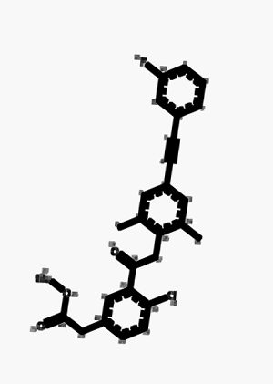 Cc1cc(C#Cc2cccc(F)c2)cc(C)c1CC(=O)c1cc(CC(=O)OC(C)(C)C)ccc1Cl